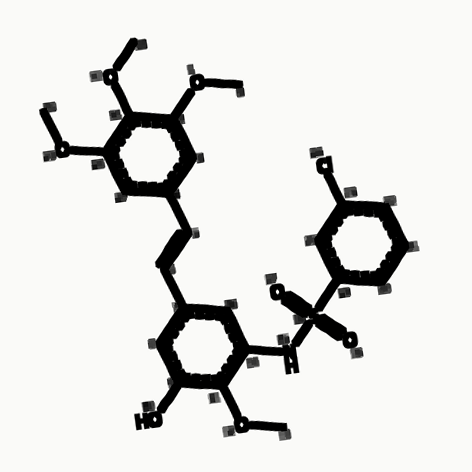 COc1cc(C=Cc2cc(O)c(OC)c(NS(=O)(=O)c3cccc(Cl)c3)c2)cc(OC)c1OC